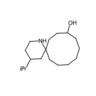 CC(C)C1CCNC2(CCCCCCC(O)CC2)C1